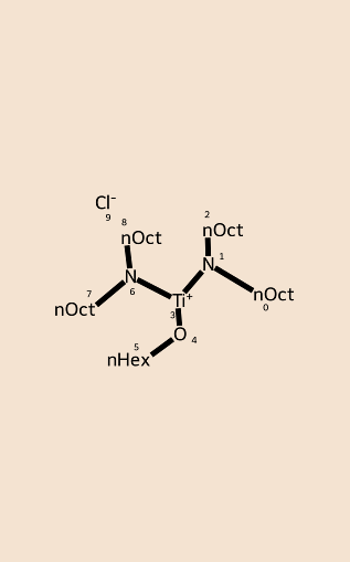 CCCCCCCC[N](CCCCCCCC)[Ti+]([O]CCCCCC)[N](CCCCCCCC)CCCCCCCC.[Cl-]